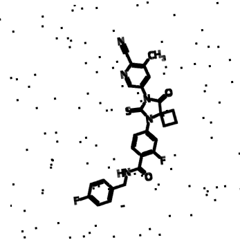 Cc1cc(N2C(=O)C3(CCC3)N(c3ccc(C(=O)NCc4ccc(F)cc4)c(F)c3)C2=S)cnc1C#N